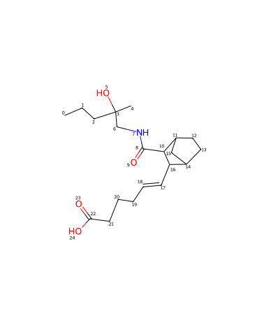 CCCC(C)(O)CNC(=O)C1C2CCC(C2)C1C=CCCCC(=O)O